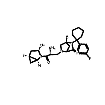 N#C[C@@H]1C[C@@H]2C[C@@H]2N1C(=O)[C@@H](N)CN1C[C@H]2CC1C(=O)N2C1(c2ccc(F)cc2)CCCCC1